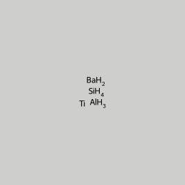 [AlH3].[BaH2].[SiH4].[Ti]